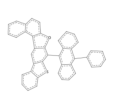 c1ccc(-c2c3ccccc3c(-c3c4oc5ccc6ccccc6c5c4cc4c3sc3ccccc34)c3ccccc23)cc1